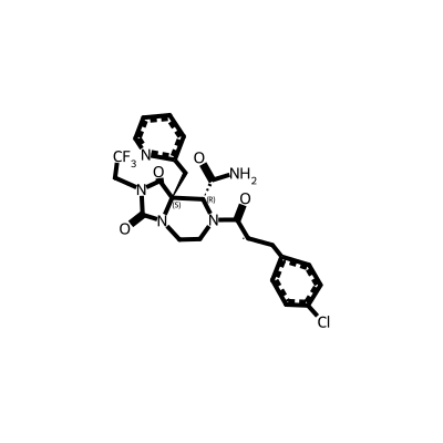 NC(=O)[C@@H]1N(C(=O)[CH]Cc2ccc(Cl)cc2)CCN2C(=O)N(CC(F)(F)F)C(=O)[C@]12Cc1ccccn1